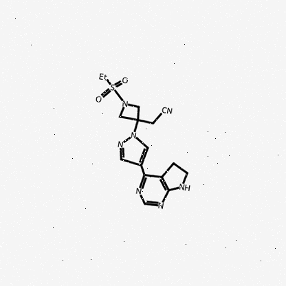 CCS(=O)(=O)N1CC(CC#N)(n2cc(-c3ncnc4c3CCN4)cn2)C1